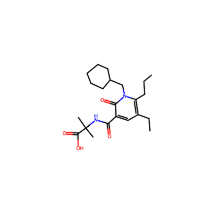 CCCc1c(CC)cc(C(=O)NC(C)(C)C(=O)O)c(=O)n1CC1CCCCC1